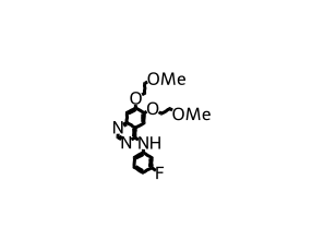 COCCOc1cc2ncnc(Nc3cccc(F)c3)c2cc1OCCOC